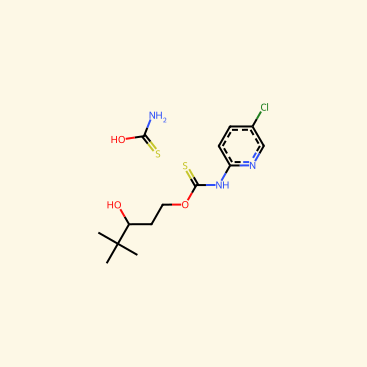 CC(C)(C)C(O)CCOC(=S)Nc1ccc(Cl)cn1.NC(O)=S